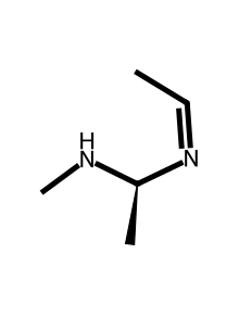 C/C=N\[C@@H](C)NC